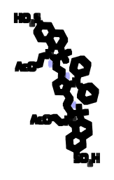 CC(=O)OCCN1/C(=C/C=C2\CCC(/C=C/C3=[N+](CCOC(C)=O)c4c(ccc5cc(S(=O)(=O)O)ccc45)C3(C)C)=C2N(c2ccccc2)c2ccccc2)C(C)(C)c2ccc3cc(S(=O)(=O)O)ccc3c21